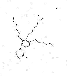 CCCCCCc1cccc(CCCCCC)c1CCCCCC.c1ccccc1